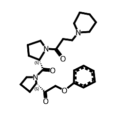 O=C(COc1ccccc1)[C@@H]1CCCN1C(=O)[C@@H]1CCCN1C(=O)CCN1CCCCC1